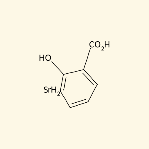 O=C(O)c1ccccc1O.[SrH2]